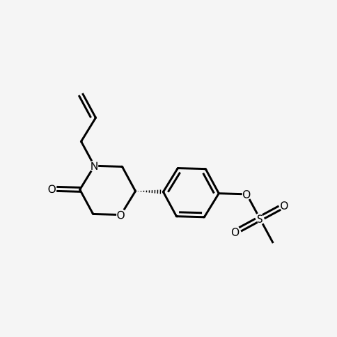 C=CCN1C[C@H](c2ccc(OS(C)(=O)=O)cc2)OCC1=O